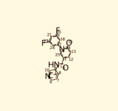 O=C(NC1CN2CCC1CC2)c1ccc(=O)n(-c2cc(F)cc(F)c2)c1